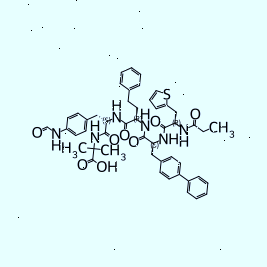 CCC(=O)N[C@H](Cc1cccs1)C(=O)N[C@@H](Cc1ccc(-c2ccccc2)cc1)C(=O)N[C@H](CCc1ccccc1)C(=O)N[C@@H](Cc1ccc(NC=O)cc1)C(=O)NC(C)(C)C(=O)O